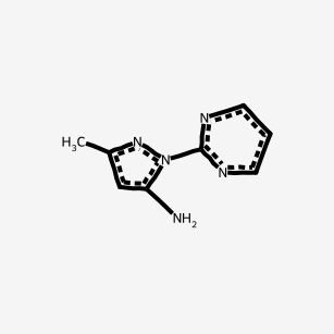 Cc1cc(N)n(-c2ncccn2)n1